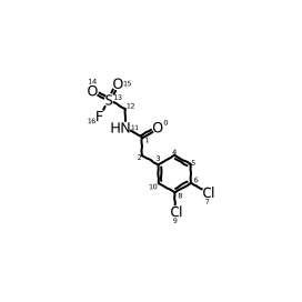 O=C(Cc1ccc(Cl)c(Cl)c1)NCS(=O)(=O)F